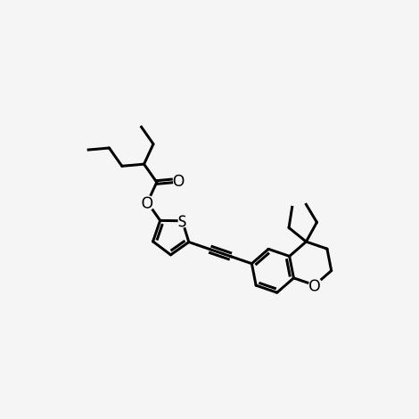 CCCC(CC)C(=O)Oc1ccc(C#Cc2ccc3c(c2)C(CC)(CC)CCO3)s1